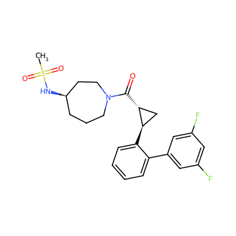 CS(=O)(=O)N[C@@H]1CCCN(C(=O)[C@@H]2C[C@H]2c2ccccc2-c2cc(F)cc(F)c2)CC1